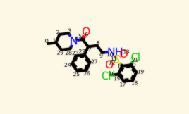 CC1CCN(C(=O)C(CCNS(=O)(=O)c2c(Cl)cccc2Cl)c2ccccc2)CC1